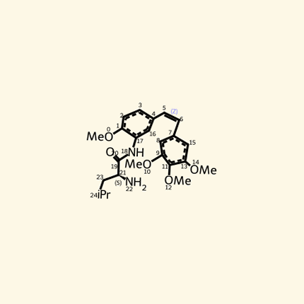 COc1ccc(/C=C\c2cc(OC)c(OC)c(OC)c2)cc1NC(=O)[C@@H](N)CC(C)C